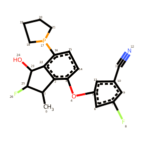 CC1c2c(Oc3cc(F)cc(C#N)c3)ccc(P3CCCC3)c2C(O)C1F